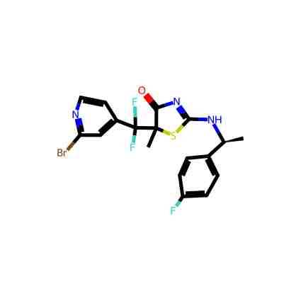 C[C@H](NC1=NC(=O)C(C)(C(F)(F)c2ccnc(Br)c2)S1)c1ccc(F)cc1